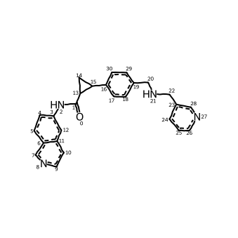 O=C(Nc1ccc2cnccc2c1)C1CC1c1ccc(CNCc2cccnc2)cc1